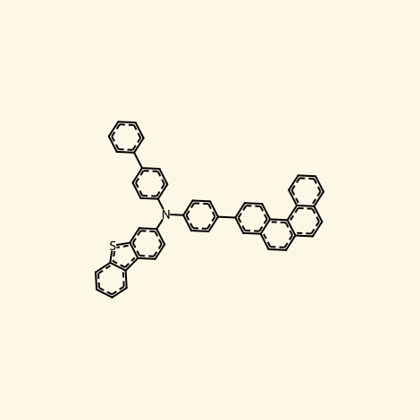 c1ccc(-c2ccc(N(c3ccc(-c4ccc5c(ccc6ccc7ccccc7c65)c4)cc3)c3ccc4c(c3)sc3ccccc34)cc2)cc1